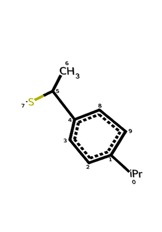 CC(C)c1ccc(C(C)[S])cc1